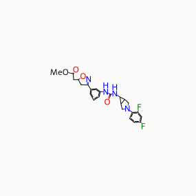 COC(=O)CC1CC(c2cccc(NC(=O)NC3C4CN(c5ccc(F)cc5F)CC43)c2)=NO1